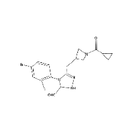 O=CC1NN=C(CC2CN(C(=O)C3CC3)C2)N1c1ccc(Br)cc1F